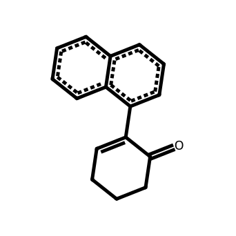 O=C1CCCC=C1c1cccc2ccccc12